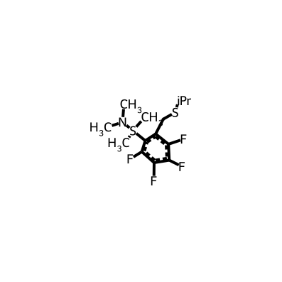 CC(C)SCc1c(F)c(F)c(F)c(F)c1S(C)(C)N(C)C